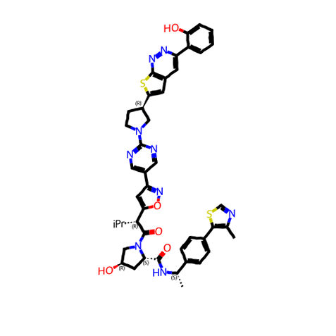 Cc1ncsc1-c1ccc([C@H](C)NC(=O)[C@@H]2C[C@@H](O)CN2C(=O)[C@@H](c2cc(-c3cnc(N4CC[C@@H](c5cc6cc(-c7ccccc7O)nnc6s5)C4)nc3)no2)C(C)C)cc1